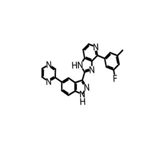 Cc1cc(F)cc(-c2nccc3[nH]c(-c4n[nH]c5ccc(-c6cnccn6)cc45)nc23)c1